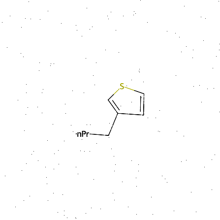 CC[CH]Cc1ccsc1